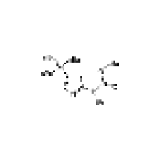 CCC[CH2][Sn]([CH2]CCC)([CH2]CCC)[c]1cnc(N(C(=O)OC(C)(C)C)C(C)C)s1